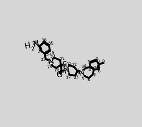 Cc1ccc2c(c1)CCCN(C1CCN(C(=O)C3(F)CCN(Cc4cccc(N)c4)CC3)CC1)C2